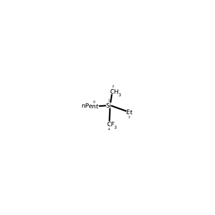 CCCCC[Si](C)(CC)C(F)(F)F